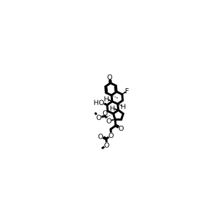 COC(=O)OCC(=O)[C@@]1(OC(=O)OC)CC[C@H]2[C@@H]3C[C@H](F)C4=CC(=O)C=C[C@]4(C)[C@H]3C(O)C[C@@]21C